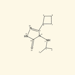 CC(C)Nn1c(C2CCC2)n[nH]c1=O